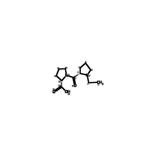 CCN1CCC[C@H]1C(=O)N1CCC[C@H]1C(=O)O